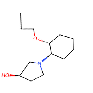 CCCO[C@@H]1CCCC[C@H]1N1CC[C@@H](O)C1